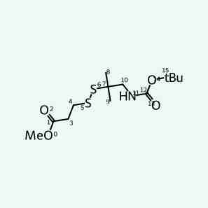 COC(=O)CCSSC(C)(C)CNC(=O)OC(C)(C)C